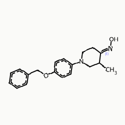 CC1CN(c2ccc(OCc3ccccc3)cc2)CC/C1=N\O